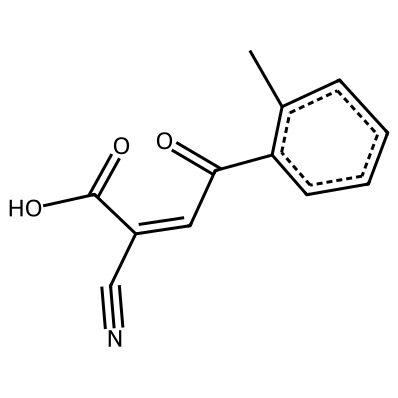 Cc1ccccc1C(=O)C=C(C#N)C(=O)O